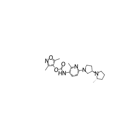 Cc1nc(N2CC[C@@H](N3CCC[C@@H]3C)C2)ccc1NC(=O)Oc1c(C)noc1C